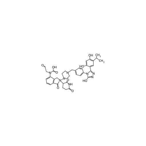 CC(C)c1cc(-c2nnc(O)n2-c2ccc(CN3CCN([N+]4(C5CCC(=O)NC5=O)Cc5c(cccc5N(CC=O)C(=O)O)C4=O)CC3)cc2)c(O)cc1O